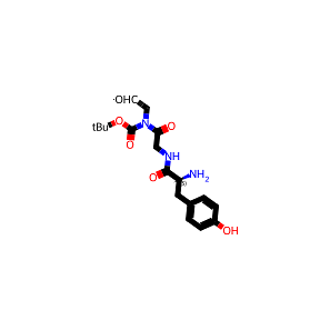 CC(C)(C)OC(=O)N(C[C]=O)C(=O)CNC(=O)[C@@H](N)Cc1ccc(O)cc1